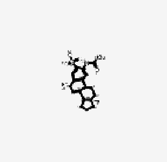 CC(C)(C)C(=O)Nc1cc2c(cc1S(=O)(=O)[O-])CCC1C2CC[C@]2(C)CCCC12.[K+]